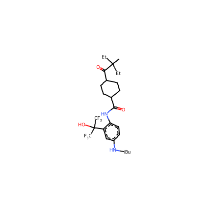 CCC(C)Nc1ccc(NC(=O)C2CCC(C(=O)C(C)(CC)CC)CC2)c(C(O)(C(F)(F)F)C(F)(F)F)c1